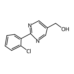 OCc1cnc(-c2ccccc2Cl)nc1